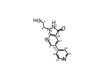 O=c1[nH]n(CCO)c2ncc(-c3ccncc3)cc12